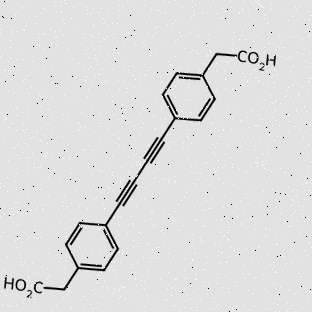 O=C(O)Cc1ccc(C#CC#Cc2ccc(CC(=O)O)cc2)cc1